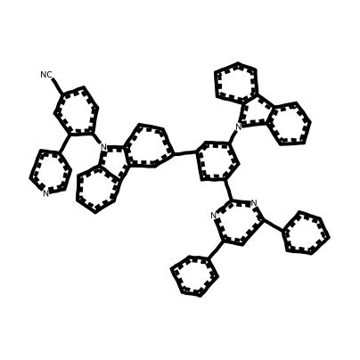 N#Cc1ccc(-n2c3ccccc3c3cc(-c4cc(-c5nc(-c6ccccc6)cc(-c6ccccc6)n5)cc(-n5c6ccccc6c6ccccc65)c4)ccc32)c(-c2ccncc2)c1